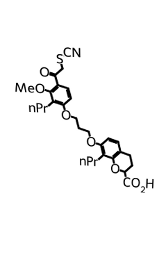 CCCc1c(OCCCOc2ccc(C(=O)CSC#N)c(OC)c2CCC)ccc2c1OC(C(=O)O)CC2